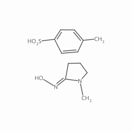 CN1CCCC1=NO.Cc1ccc(S(=O)(=O)O)cc1